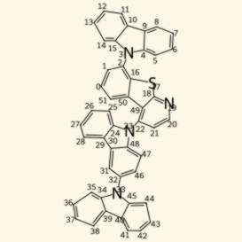 c1cc(-n2c3ccccc3c3ccccc32)c2sc3nccc(-n4c5ccccc5c5cc(-n6c7ccccc7c7ccccc76)ccc54)c3c2c1